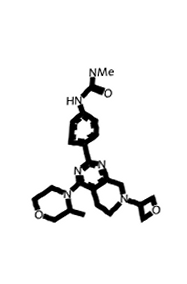 CNC(=O)Nc1ccc(-c2nc3c(c(N4CCOCC4C)n2)CCN(C2COC2)C3)cc1